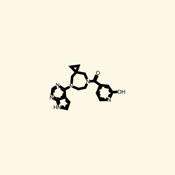 O=C(c1ccnc(O)c1)N1CCN(c2ncnc3[nH]ccc23)CC2(CC2)C1